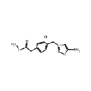 COC(=O)Cc1ccc(C[n+]2cc(N)on2)cc1.[Cl-]